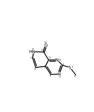 CSc1ncc2cc[nH]c(=O)c2n1